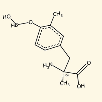 Cc1cc(C[C@](C)(N)C(=O)O)ccc1OBO